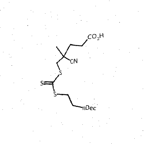 CCCCCCCCCCCCSC(=S)SCC(C)(C#N)CCC(=O)O